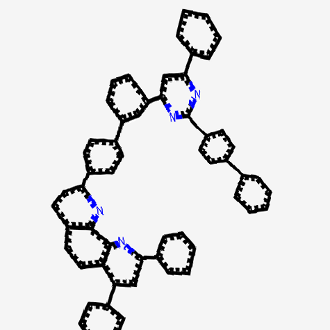 c1ccc(-c2ccc(-c3nc(-c4ccccc4)cc(-c4cccc(-c5ccc(-c6ccc7ccc8c(-c9ccccc9)cc(-c9ccccc9)nc8c7n6)cc5)c4)n3)cc2)cc1